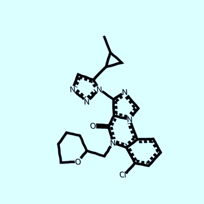 CC1CC1c1cnnn1-c1ncn2c1c(=O)n(CC1CCCCO1)c1c(Cl)cccc12